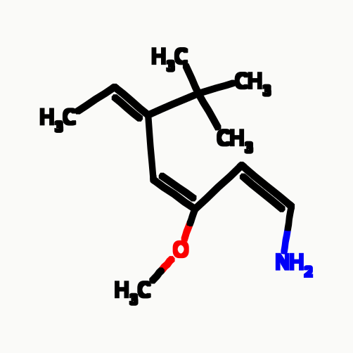 C\C=C(/C=C(\C=C/N)OC)C(C)(C)C